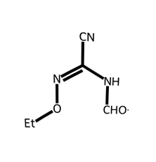 CCO/N=C(/C#N)N[C]=O